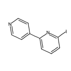 Ic1cccc(-c2ccncc2)n1